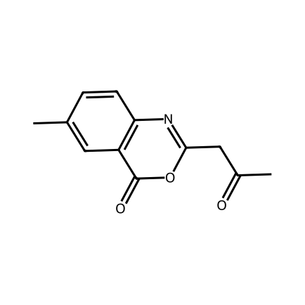 CC(=O)Cc1nc2ccc(C)cc2c(=O)o1